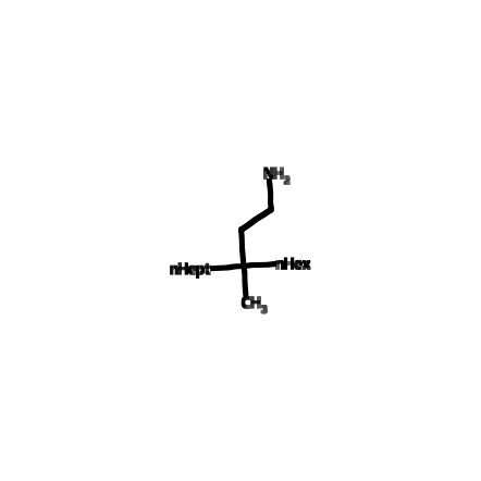 CCCCCCCC(C)(CCN)CCCCCC